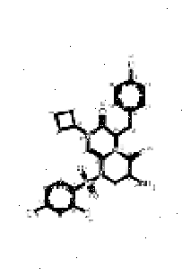 NC1CN(S(=O)(=O)c2ccc(Cl)cc2Cl)C2=CN(C3CCC3)C(=O)C(Cc3ccc(Cl)cc3)N2C1=O